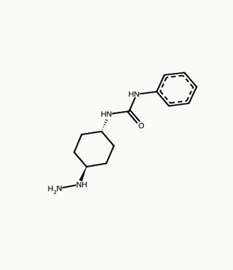 NN[C@H]1CC[C@H](NC(=O)Nc2ccccc2)CC1